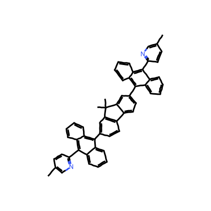 Cc1ccc(-c2c3ccccc3c(-c3ccc4c(c3)C(C)(C)c3cc(-c5c6ccccc6c(-c6ccc(C)cn6)c6ccccc56)ccc3-4)c3ccccc23)nc1